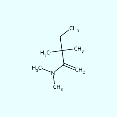 C=C(N(C)C)C(C)(C)CC